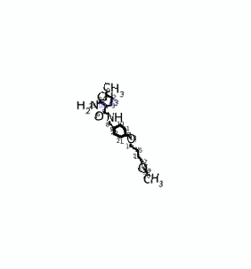 CC/C=C\C(C(=O)NCc1ccc(OCCCCOCC)cc1)=C(/C)N